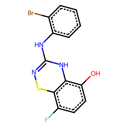 Oc1ccc(F)c2c1NC(Nc1ccccc1Br)=NS2